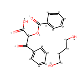 O=C(OC(C(=O)O)C(=O)c1ccccc1)c1ccccc1.OCCCCO